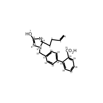 C=CCCc1nc(O)nn1Cc1ccc(-c2ccccc2C(=O)O)cc1